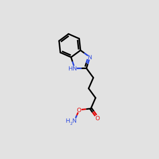 NOC(=O)CCCc1nc2ccccc2[nH]1